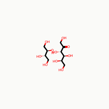 O=C(CO)[C@@H](O)[C@@H](O)[C@H](O)CO.OC[C@@H](O)[C@@H](O)CO